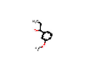 CCC([O])c1cccc(OC)c1